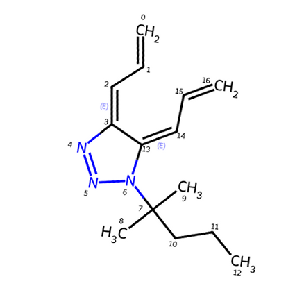 C=C/C=c1/nnn(C(C)(C)CCC)/c1=C/C=C